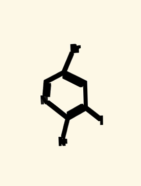 [N]c1ncc(Br)cc1I